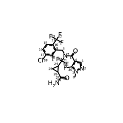 Cn1ncc(C(=O)N(Cc2c(C(F)(F)F)ccc(Cl)c2F)C(F)(F)C2CC2C(N)=O)c1F